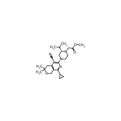 COC(=O)CN1CCN(c2nc(C3CC3)c3c(c2C#N)CC(C)(C)OC3)C[C@H]1C(C)C